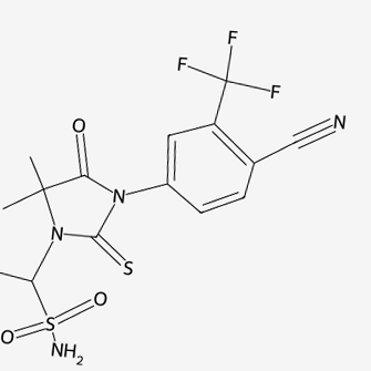 CC(N1C(=S)N(c2ccc(C#N)c(C(F)(F)F)c2)C(=O)C1(C)C)S(N)(=O)=O